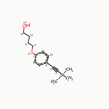 C[Si](C)(C)C#Cc1ccc(OCCCCO)cc1